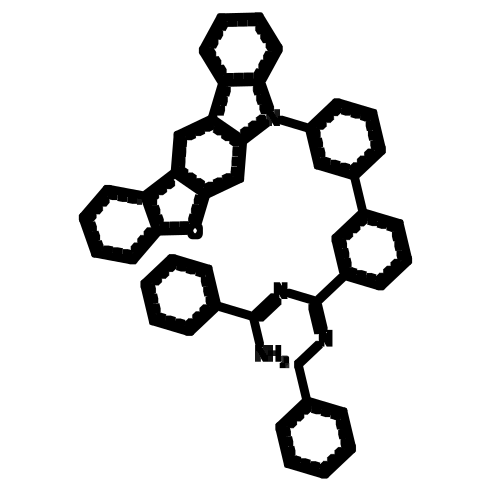 N/C(=N\C(=N/Cc1ccccc1)c1cccc(-c2cccc(-n3c4ccccc4c4cc5c(cc43)oc3ccccc35)c2)c1)c1ccccc1